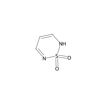 O=S1(=O)N=CC=CN1